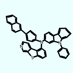 c1ccc(-n2c3ccccc3c3ccc(N(c4ccc(-c5ccc6ccccc6c5)cc4)c4cccc5sc6cnccc6c45)cc32)cc1